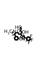 Cc1cccc(-c2sc(C)nc2C2CC(n3cc(-c4cc(F)c(F)c(F)c4)nn3)C(O)C(CO)O2)c1